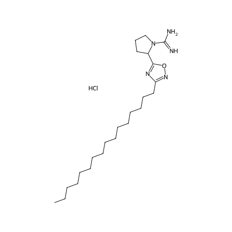 CCCCCCCCCCCCCCCCc1noc(C2CCCN2C(=N)N)n1.Cl